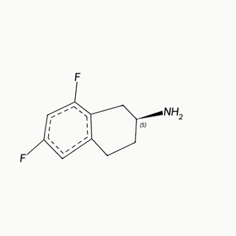 N[C@H]1CCc2cc(F)cc(F)c2C1